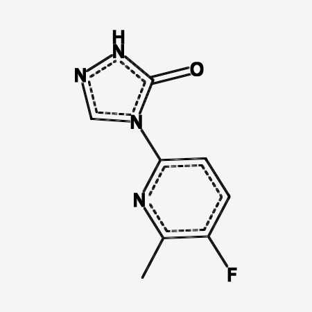 Cc1nc(-n2cn[nH]c2=O)ccc1F